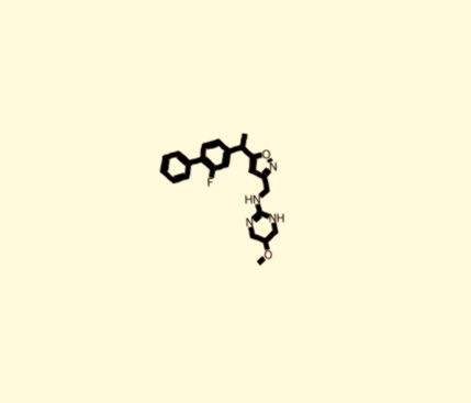 COC1CN=C(NCc2cc(C(C)c3ccc(-c4ccccc4)c(F)c3)on2)NC1